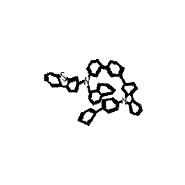 c1ccc(-c2ccc(-n3c4ccccc4c4ccc(-c5cccc(-c6cccc(N(c7ccc8c(c7)sc7ccccc78)c7cccc8ccccc78)c6)c5)cc43)cc2)cc1